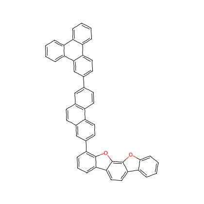 c1ccc2c(c1)oc1c2ccc2c3cccc(-c4ccc5c(ccc6cc(-c7ccc8c9ccccc9c9ccccc9c8c7)ccc65)c4)c3oc21